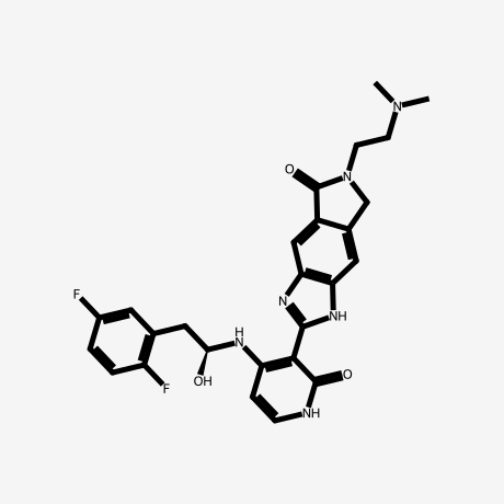 CN(C)CCN1Cc2cc3[nH]c(-c4c(N[C@@H](O)Cc5cc(F)ccc5F)cc[nH]c4=O)nc3cc2C1=O